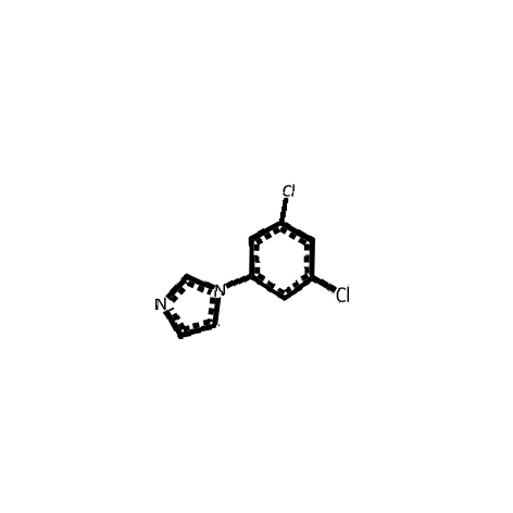 Clc1cc(Cl)cc(-n2[c]cnc2)c1